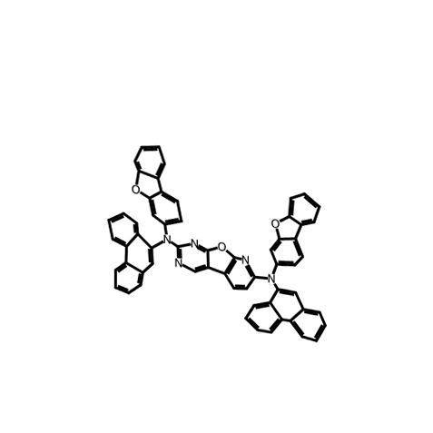 c1ccc2c(c1)cc(N(c1ccc3c(c1)oc1ccccc13)c1ccc3c(n1)oc1nc(N(c4ccc5c(c4)oc4ccccc45)c4cc5ccccc5c5ccccc45)ncc13)c1ccccc12